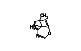 CC12C=CC3N=COC(=C1)C32C